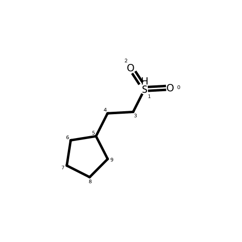 O=[SH](=O)CCC1CCCC1